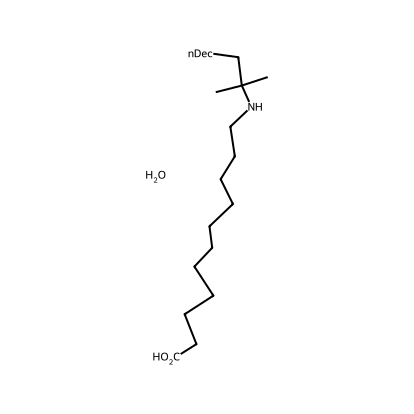 CCCCCCCCCCCC(C)(C)NCCCCCCCCCCC(=O)O.O